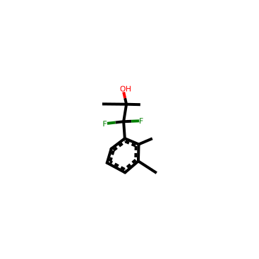 Cc1cccc(C(F)(F)C(C)(C)O)c1C